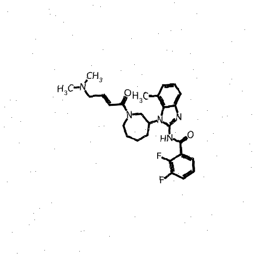 Cc1cccc2nc(NC(=O)c3cccc(F)c3F)n(C3CCCCN(C(=O)C=CCN(C)C)C3)c12